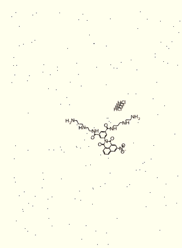 Cl.Cl.Cl.Cl.NCCCNCCNC(=O)c1cc(C(=O)NCCCNCCN)cc(N2C(=O)c3cccc4cc([N+](=O)[O-])cc(c34)C2=O)c1